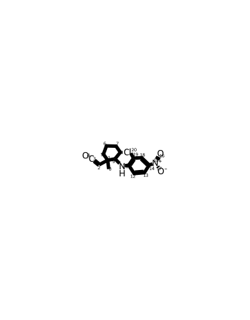 CC1(C=C=O)CCCCC1Nc1ccc([N+](=O)[O-])cc1Cl